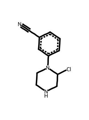 N#Cc1cccc(N2CCNCC2Cl)c1